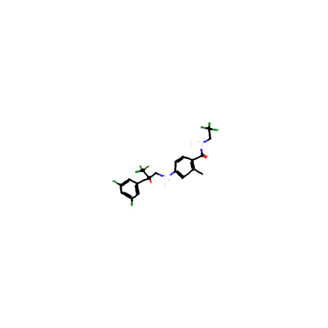 Cc1cc(NCC(O)(c2cc(Cl)cc(Cl)c2)C(F)(F)F)ccc1C(=O)NCC(F)(F)F